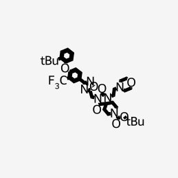 CC(C)(C)OC(=O)N1CCC2(CC1)C(=O)N(Cc1nc(-c3ccc(Oc4ccccc4C(C)(C)C)c(C(F)(F)F)c3)no1)C(=O)N2CCN1CCOCC1